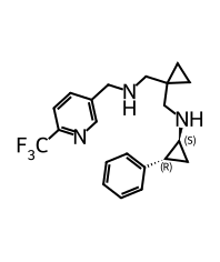 FC(F)(F)c1ccc(CNCC2(CN[C@H]3C[C@@H]3c3ccccc3)CC2)cn1